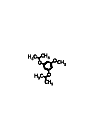 COc1cc(OC(C)C)cc(OC(C)C)c1